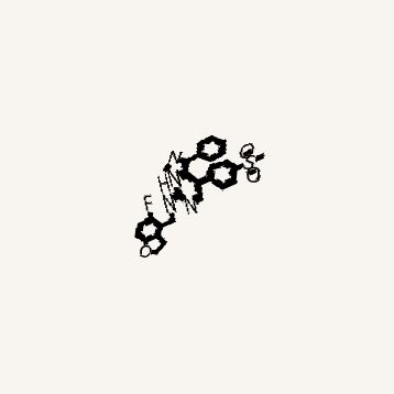 CS(=O)(=O)c1ccc(-c2cnc(NCc3c(F)ccc4c3CCO4)n3cnc(-c4ccccc4)c23)cc1